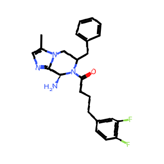 Cc1cnc2n1CC(Cc1ccccc1)N(C(=O)CCCc1ccc(F)c(F)c1)[C@H]2N